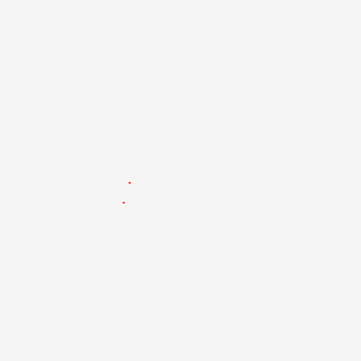 c1ccc(-c2ccc3c(c2)oc2cccc(-c4c5ccccc5c(-c5ccccc5-c5ccc6c7c(cccc57)-c5ccccc5-6)c5ccccc45)c23)cc1